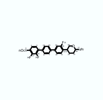 CCCCCCCCc1ccc(-c2ccc(-c3ccc(C4CCC(CCC)OC4)c(F)c3)cc2)c(F)c1F